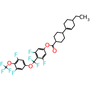 CCC1CC=C(C2CCC(C(=O)Oc3cc(F)c(C(F)(F)Oc4cc(F)c(OC(F)(F)F)c(F)c4)c(F)c3)CC2)CC1